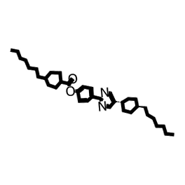 CCCCCCCC1CCC(C(=O)Oc2ccc(-c3ncc([C@H]4CC[C@H](CCCCCCC)CC4)cn3)cc2)CC1